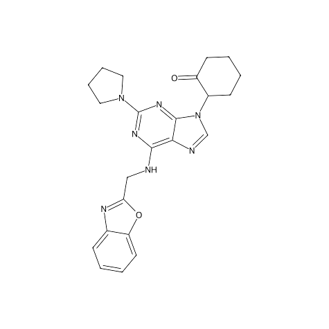 O=C1CCCCC1n1cnc2c(NCc3nc4ccccc4o3)nc(N3CCCC3)nc21